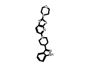 c1ccc2c(C3CCN(c4ccc5nc(N6CCOCC6)sc5n4)CC3)n[nH]c2c1